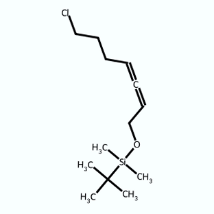 CC(C)(C)[Si](C)(C)OCC=C=CCCCCl